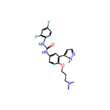 CN(C)CCCOc1ccc(NC(=O)Nc2ccc(F)cc2F)cc1-c1ccnn1C